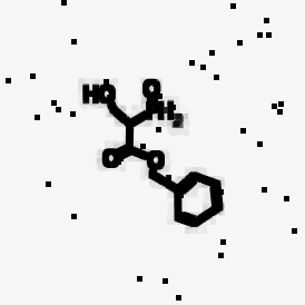 O=[PH2]C(CO)C(=O)OCc1ccccc1